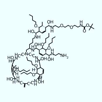 C=C1CCN[C@@H](O)[C@@H]2C=CC(C(O)NCCN(CC(CCCN[C@@H](O)C3C=C[C@@H]([C@H](O)NCCOCCOCCNC(=O)OC(C)(C)C)C(C)[C@H]3OCCCC)N[C@@H](O)[C@@H]3C=C[C@H]([C@H](O)NCCN)C(OCCCC)C3OCCCC)CCN[C@@H](O)C3C=CC([C@@H](OCCCC)[C@H]3C)[C@@H](O)NC1)[C@H](OCCCC)C2OCCCC